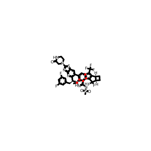 Cn1nc(NS(C)(=O)=O)c2cccc(-c3cc4sc(N5CCNC(=O)C5)nc4nc3[C@H](Cc3cc(F)cc(F)c3)NC(=O)Cn3nc(C(F)(F)F)c4c3C(F)(F)[C@@H]3CC[C@H]43)c21